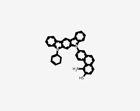 Nc1c(S)ccc2ccc3cc(-n4c5ccccc5c5cc6c7ccccc7n(C7=CC=CCC7)c6cc54)ccc3c12